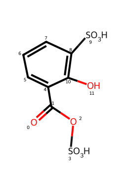 O=C(OS(=O)(=O)O)c1cccc(S(=O)(=O)O)c1O